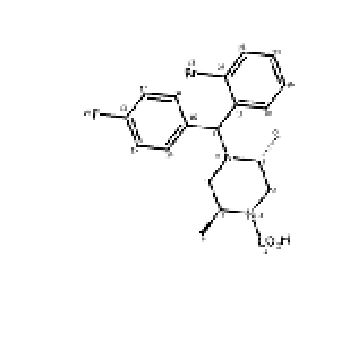 C[C@@H]1CN(C(=O)O)[C@@H](C)CN1C(c1ccc(F)cc1)c1ccccc1Br